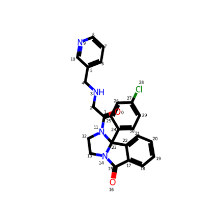 O=C(CNCc1cccnc1)N1CCN2C(=O)c3ccccc3C12c1ccc(Cl)cc1